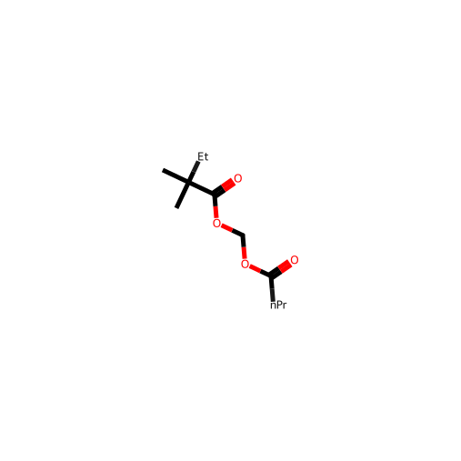 CCCC(=O)OCOC(=O)C(C)(C)CC